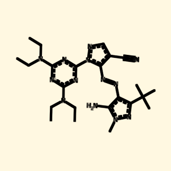 CCN(CC)c1nc(N(CC)CC)nc(-n2ncc(C#N)c2N=Nc2c(C(C)(C)C)nn(C)c2N)n1